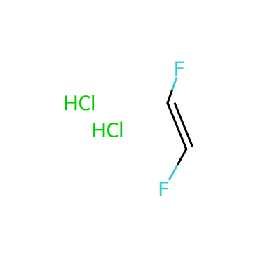 Cl.Cl.FC=CF